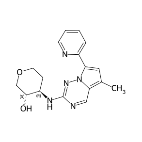 Cc1cc(-c2ccccn2)n2nc(N[C@@H]3CCOC[C@H]3O)ncc12